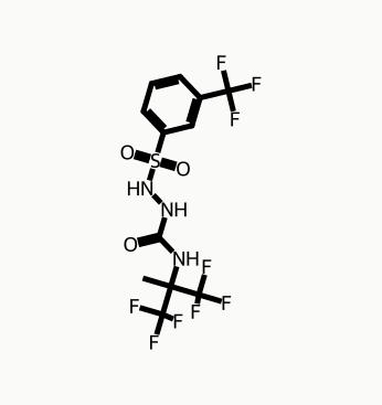 CC(NC(=O)NNS(=O)(=O)c1cccc(C(F)(F)F)c1)(C(F)(F)F)C(F)(F)F